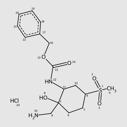 CS(=O)(=O)C1CCC(O)(CN)C(NC(=O)OCc2ccccc2)C1.Cl